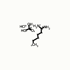 CCCCCC(N)N.Cl.O=C(O)O